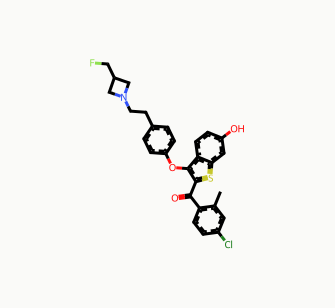 Cc1cc(Cl)ccc1C(=O)c1sc2cc(O)ccc2c1Oc1ccc(CCN2CC(CF)C2)cc1